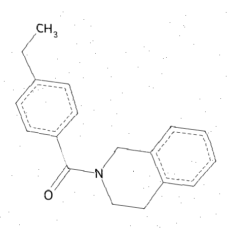 CCc1ccc(C(=O)N2CCc3ccccc3C2)cc1